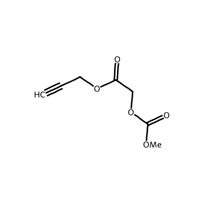 C#CCOC(=O)COC(=O)OC